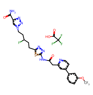 NC(=O)c1cn(CCC(F)CCc2nnc(NC(=O)Cc3cc(-c4cccc(OC(F)(F)F)c4)ccn3)s2)nn1.O=C(O)C(F)(F)F